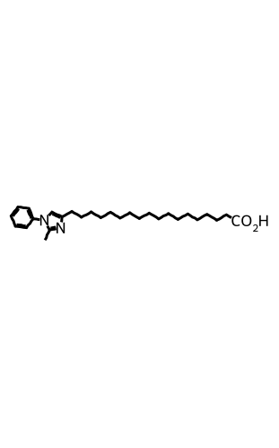 Cc1nc(CCCCCCCCCCCCCCCCCC(=O)O)cn1-c1ccccc1